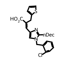 CCCCCCCCCCc1nc(C=C(Cc2cccs2)C(=O)O)cn1Cc1ccccc1Cl